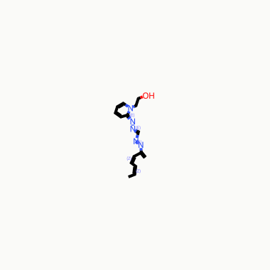 C=C(/C=C\C=C/C)/N=N/C=N/N=c1\ccccn1CCO